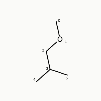 COCC(C)C